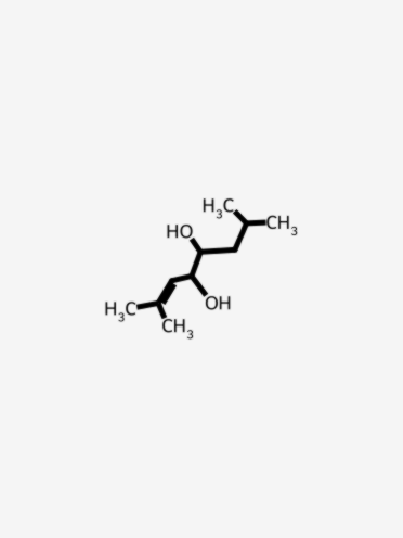 CC(C)=CC(O)C(O)CC(C)C